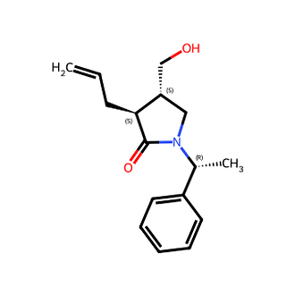 C=CC[C@@H]1C(=O)N([C@H](C)c2ccccc2)C[C@H]1CO